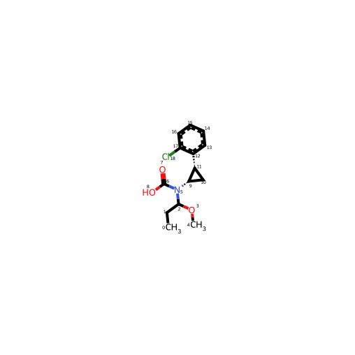 CCC(OC)N(C(=O)O)[C@H]1C[C@H]1c1ccccc1Cl